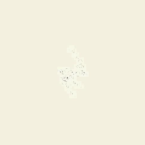 CN1CCN(/C(=N\c2ccccc2)N(Nc2ccc3[nH]nc(-c4nc5ccc(N6CCC(N7CCCCC7)CC6)cc5[nH]4)c3c2)c2ccc3[nH]nc(-c4nc5ccc(N6CCC(N7CCCCC7)CC6)cc5[nH]4)c3c2)CC1